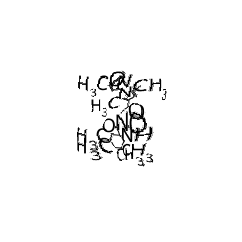 Cc1cc(-n2c(C)cc(C(=O)CN3C(=O)NC4(CC(C)(C)CC(C)(C)C4)C3=O)c2C)no1